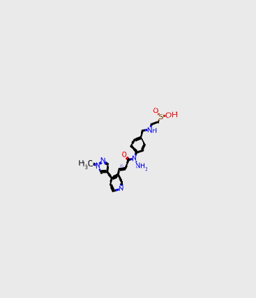 Cn1cc(-c2ccncc2/C=C/C(=O)N(N)c2ccc(CNCCS(=O)O)cc2)cn1